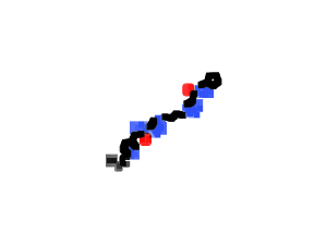 Cc1ccc(CC(=O)Nc2cn(CCCCn3cc(C(=O)NCC4CCCC4)nn3)nn2)cn1